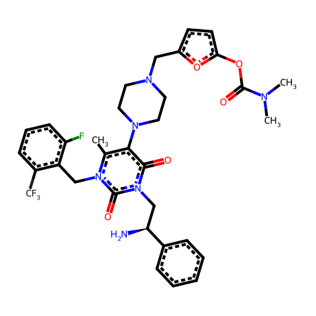 Cc1c(N2CCN(Cc3ccc(OC(=O)N(C)C)o3)CC2)c(=O)n(C[C@H](N)c2ccccc2)c(=O)n1Cc1c(F)cccc1C(F)(F)F